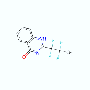 O=c1nc(C(F)(F)C(F)(F)C(F)(F)F)[nH]c2ccccc12